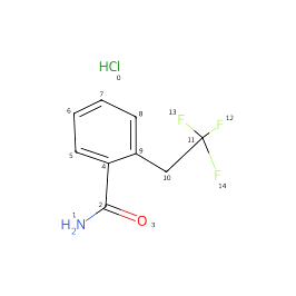 Cl.NC(=O)c1ccccc1CC(F)(F)F